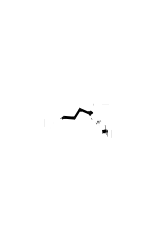 CCCCC(C)=NN=N